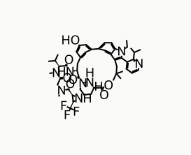 CCn1c(-c2cccnc2C(C)C)c2c3cc(ccc31)-c1cc(O)cc(c1)C[C@H](NC(=O)[C@H](C(C)C)N(C)C(=O)CN(C)C(=O)[C@H]1N[C@H]1C(F)(F)F)C(=O)N1CCC[C@H](N1)C(=O)OCC(C)(C)C2